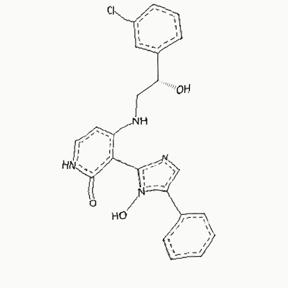 O=c1[nH]ccc(NC[C@@H](O)c2cccc(Cl)c2)c1-c1ncc(-c2ccccc2)n1O